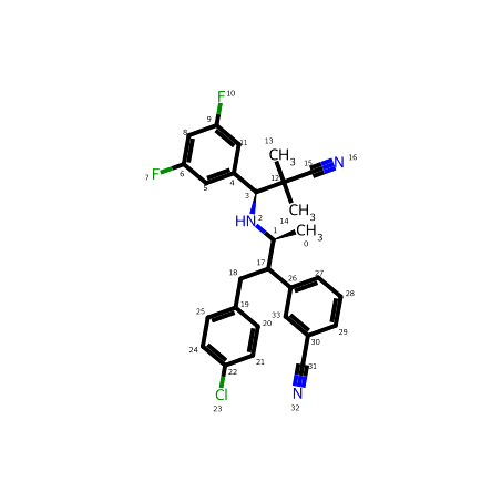 C[C@H](N[C@@H](c1cc(F)cc(F)c1)C(C)(C)C#N)C(Cc1ccc(Cl)cc1)c1cccc(C#N)c1